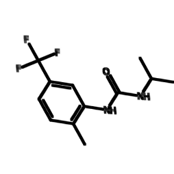 Cc1ccc(C(F)(F)F)cc1NC(=O)NC(C)C